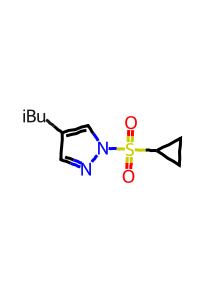 CCC(C)c1cnn(S(=O)(=O)C2CC2)c1